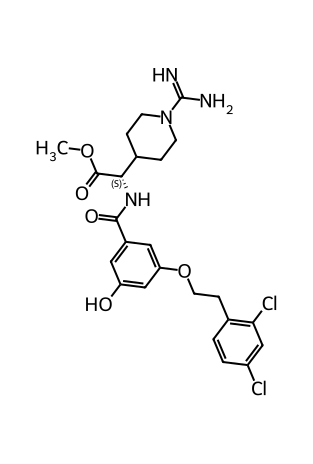 COC(=O)[C@@H](NC(=O)c1cc(O)cc(OCCc2ccc(Cl)cc2Cl)c1)C1CCN(C(=N)N)CC1